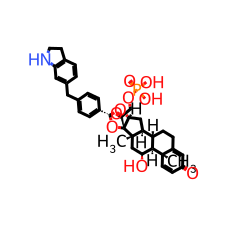 C[C@]12C=CC(=O)C=C1CC[C@@H]1[C@@H]2[C@@H](O)C[C@@]2(C)[C@H]1C[C@H]1O[C@@H](c3ccc(Cc4ccc5c(c4)NCC5)cc3)O[C@]12C(=O)COP(=O)(O)O